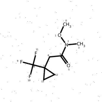 CON(C)C(=O)CC1(C(F)(F)F)CC1